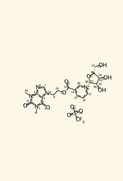 Cn1c(=O)c2c(ncn2CCOC(=O)c2ccc[n+]([C@@H]3O[C@H](CO)[C@@H](O)[C@H]3O)c2)n(C)c1=O.O=S(=O)([O-])C(F)(F)F